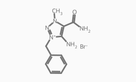 Cn1n[n+](Cc2ccccc2)c(N)c1C(N)=O.[Br-]